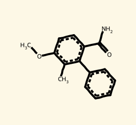 COc1ccc(C(N)=O)c(-c2ccccc2)c1C